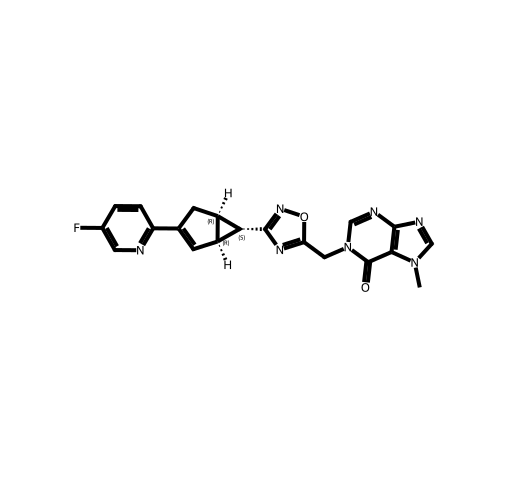 Cn1cnc2ncn(Cc3nc([C@@H]4[C@H]5C=C(c6ccc(F)cn6)C[C@H]54)no3)c(=O)c21